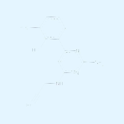 C#CCNc1cc(-c2cccc(C)c2C)nc(N)n1